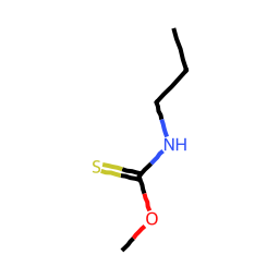 CCCNC(=S)OC